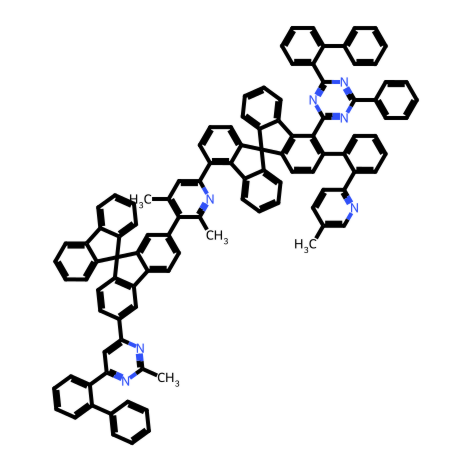 Cc1ccc(-c2ccccc2-c2ccc3c(c2-c2nc(-c4ccccc4)nc(-c4ccccc4-c4ccccc4)n2)-c2ccccc2C32c3ccccc3-c3c(-c4cc(C)c(-c5ccc6c(c5)C5(c7ccccc7-c7ccccc75)c5ccc(-c7cc(-c8ccccc8-c8ccccc8)nc(C)n7)cc5-6)c(C)n4)cccc32)nc1